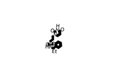 CCC(NS(=O)(=O)CCCn1ccc(=O)[nH]c1=O)c1ccccc1